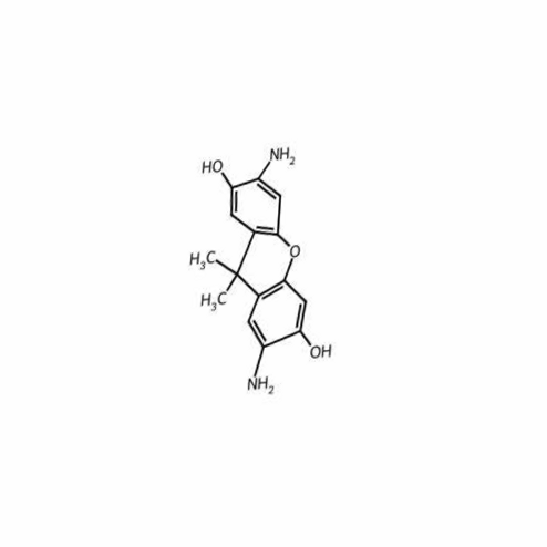 CC1(C)c2cc(N)c(O)cc2Oc2cc(N)c(O)cc21